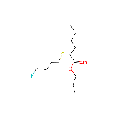 CCCCC(SCCCCF)C(=O)OCC(C)C